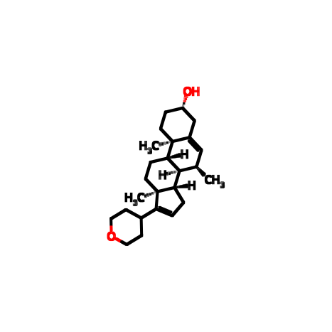 C[C@@H]1C=C2C[C@@H](O)CC[C@]2(C)[C@H]2CC[C@]3(C)C(C4CCOCC4)=CC[C@H]3[C@H]12